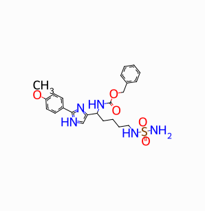 COc1ccc(-c2nc(C(CCCCNS(N)(=O)=O)NC(=O)OCc3ccccc3)c[nH]2)cc1